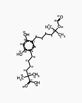 CC(C)(CCCCc1cc(CCCCC(C)(C)C(=O)O)c(O)cc1O)OC=O